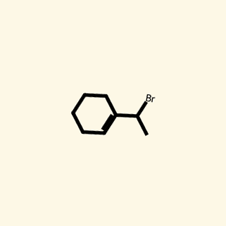 CC(Br)C1=CCCCC1